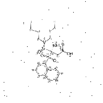 CCCCN(CCCC)C(=O)[C@@](N)(CC(=O)O)S(=O)(=O)c1cccc2ccccc12